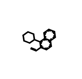 C=Cc1ccc2ccccc2c1C1CCCCC1